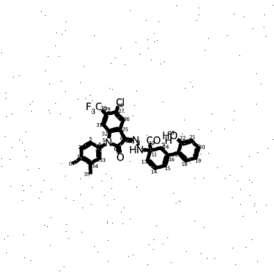 Cc1ccc(N2C(=O)C(=NNC3(C(=O)O)C=CC=C(c4ccccc4O)C3)c3cc(Cl)c(C(F)(F)F)cc32)cc1C